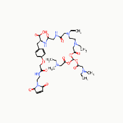 CCN(C)CC(=O)OC(OC(=O)CN(C)CC)OC(=O)CN(CC)CCN(CC)CC(=O)NCC(=O)N[C@@H](Cc1ccc(OCC(=O)NCCN2C(=O)C=CC2=O)cc1)C(=O)O